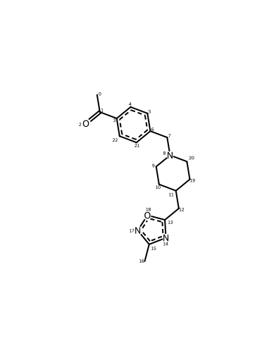 CC(=O)c1ccc(CN2CCC(Cc3nc(C)no3)CC2)cc1